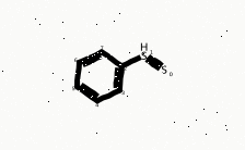 S=[SH]c1ccccc1